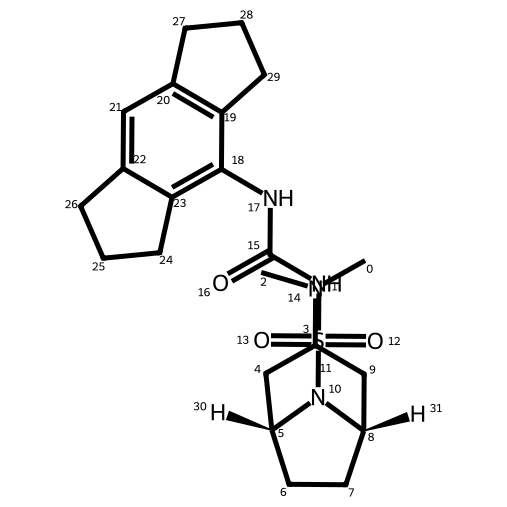 CN(C)C1C[C@H]2CC[C@@H](C1)N2S(=O)(=O)NC(=O)Nc1c2c(cc3c1CCC3)CCC2